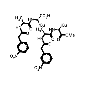 CC[C@H](C)[C@H](NC(=O)[C@H](C)NC(=O)Cc1cccc([N+](=O)[O-])c1)C(=O)O.CC[C@H](C)[C@H](NC(=O)[C@H](C)NC(=O)Cc1cccc([N+](=O)[O-])c1)C(=O)OC